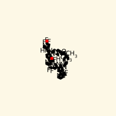 CC(C(=O)C(C)N1CCN(Cc2nc(Nc3ccc(C(F)(F)F)nc3)c3ccc(-c4ncccc4C(F)(F)F)cc3n2)CC1)N1CCN(Cc2nc(Nc3ccc(C(F)(F)F)nc3)c3ccc(-c4ncccc4C(F)(F)F)cc3n2)CC1